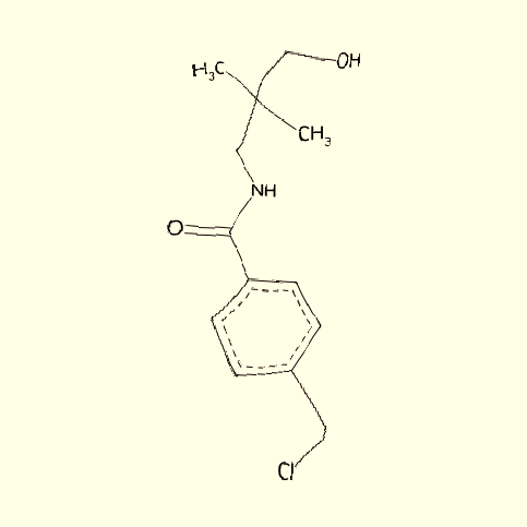 CC(C)(CO)CNC(=O)c1ccc(CCl)cc1